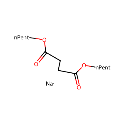 CCCCCOC(=O)CCC(=O)OCCCCC.[Na]